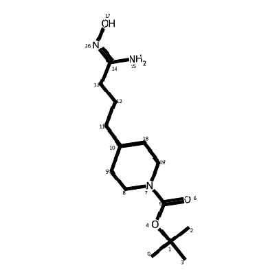 CC(C)(C)OC(=O)N1CCC(CCC/C(N)=N/O)CC1